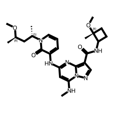 CNc1cc(Nc2cccn([C@@H](C)C[C@@H](C)OC)c2=O)nc2c(C(=O)NC3CC[C@@]3(C)OC)cnn12